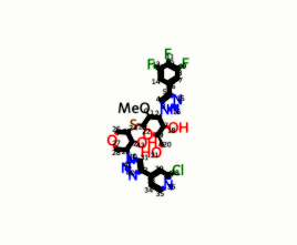 CO[C@@H]1[C@@H](n2cc(-c3cc(F)c(F)c(F)c3)nn2)[C@@H](O)[C@@H](CO)O[C@H]1S[C@@H]1COC[C@H](n2cc(-c3ccnc(Cl)c3)nn2)[C@H]1O